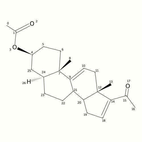 CC(=O)O[C@H]1CC[C@]2(C)C3=CC[C@]4(C)C(C(C)=O)=CCC4C3CC[C@H]2C1